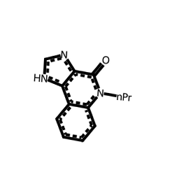 CCCn1c(=O)c2nc[nH]c2c2ccccc21